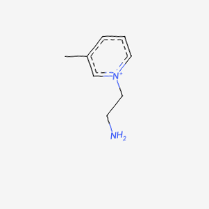 Cc1ccc[n+](CCN)c1